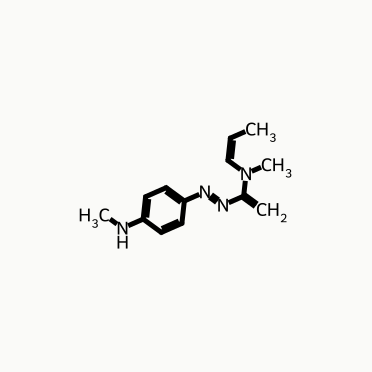 C=C(/N=N/c1ccc(NC)cc1)N(C)/C=C\C